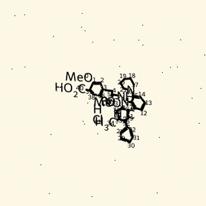 COc1cc(CC(=O)NN(c2c(C)cccc2N2CCCCC2)C2(OC)C=CC(c3ccccc3)C(C)=C2)c(Br)cc1C(=O)O.Cl